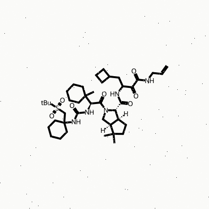 C=CCNC(=O)C(=O)C(CC1CCC1)NC(=O)[C@@H]1[C@H]2CCC(C)(C)[C@H]2CN1C(=O)[C@@H](NC(=O)NC1(CS(=O)(=O)C(C)(C)C)CCCCC1)C1(C)CCCCC1